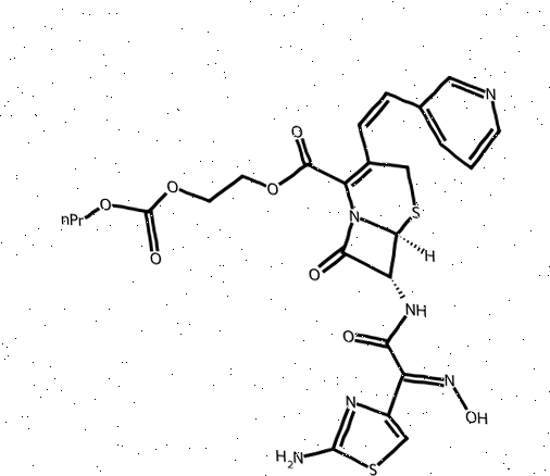 CCCOC(=O)OCCOC(=O)C1=C(/C=C\c2cccnc2)CS[C@H]2[C@H](NC(=O)C(=NO)c3csc(N)n3)C(=O)N12